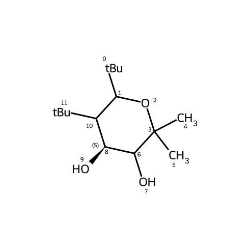 CC(C)(C)C1OC(C)(C)C(O)[C@@H](O)C1C(C)(C)C